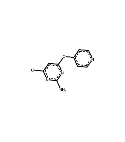 Nc1nc(Cl)cc(Oc2ccncc2)n1